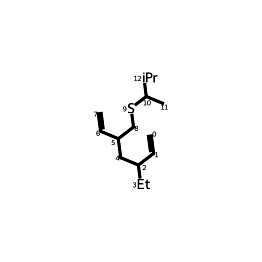 C=CC(CC)CC(C=C)CSC(C)C(C)C